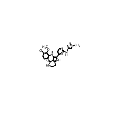 COc1c(Cl)cccc1Nc1c(-c2ccnc(Nc3cn(C)nn3)n2)[nH]c2c1C(=O)NCC2